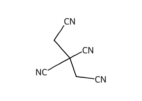 N#CCC(C#N)(C#N)CC#N